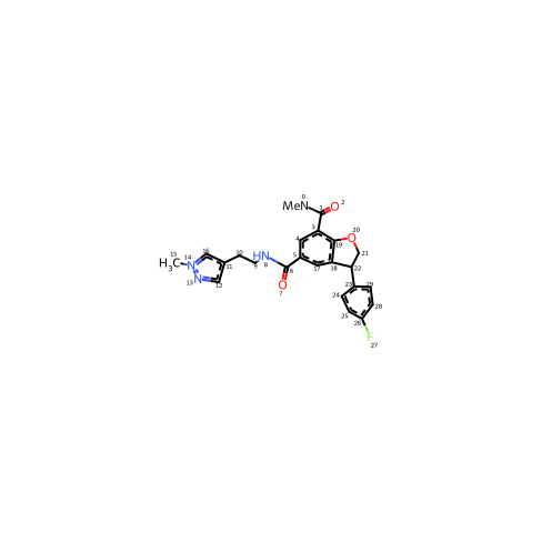 CNC(=O)c1cc(C(=O)NCCc2cnn(C)c2)cc2c1OCC2c1ccc(F)cc1